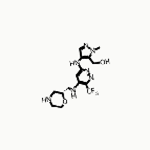 Cn1ncc(Nc2cc(NC[C@H]3CNCCO3)c(C(F)(F)F)nn2)c1CO